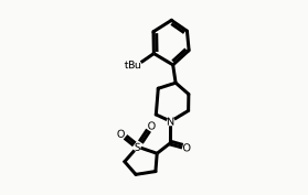 CC(C)(C)c1ccccc1C1CCN(C(=O)C2CCCS2(=O)=O)CC1